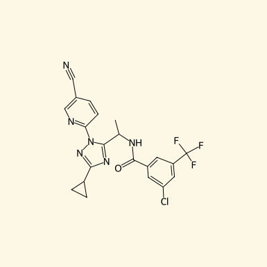 CC(NC(=O)c1cc(Cl)cc(C(F)(F)F)c1)c1nc(C2CC2)nn1-c1ccc(C#N)cn1